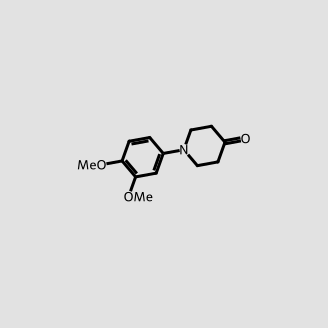 COc1ccc(N2CCC(=O)CC2)cc1OC